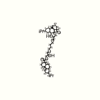 CC(C)C1CCC2C(CCC3C(C)(C(=O)OCC(O)COCCCCOCC(O)COC(=O)C4(C)CCCC5(C)C6CCC(C(C)C)CC6CCC45)CCCC23C)C1